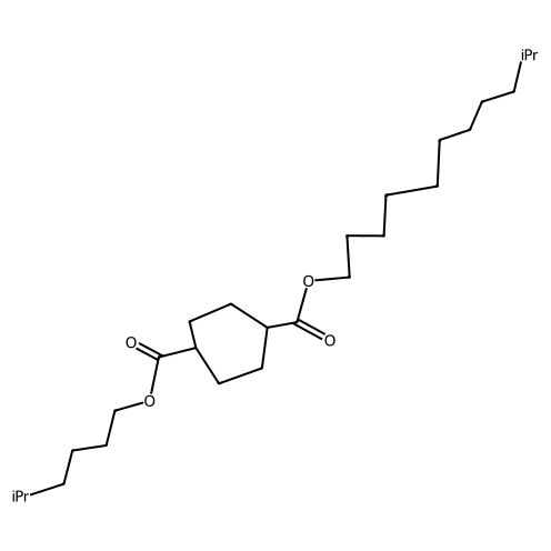 CC(C)CCCCCCCCCOC(=O)C1CCC(C(=O)OCCCCC(C)C)CC1